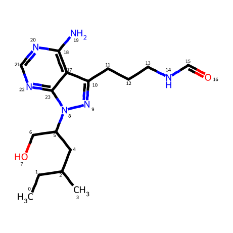 CCC(C)CC(CO)n1nc(CCCNC=O)c2c(N)ncnc21